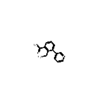 NCc1c(C(N)=O)cccc1-c1cccnc1